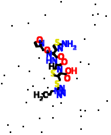 C=CCn1nnnc1SCC1=C(C(=O)O)N2C(=O)C(NC(=O)C(=NOCc3ccon3)c3csc(N)n3)[C@@H]2SC1